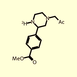 [2H]N1CCN(CC(C)=O)CC1c1ccc(C(=O)OC)cc1